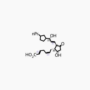 CCCC1CCC([C@H](O)/C=C/[C@H]2C(=O)C[C@H](O)[C@@H]2C/C=C\C/C=C/C(=O)O)C1